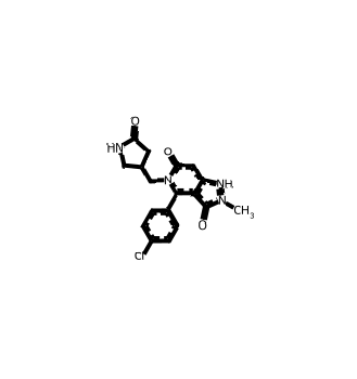 Cn1[nH]c2cc(=O)n(CC3CNC(=O)C3)c(-c3ccc(Cl)cc3)c2c1=O